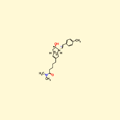 Cc1ccc(/C=C/[C@@H]2[C@H]3CC(CCCCC(=O)N(C)C)=C[C@H]3C[C@H]2O)cc1